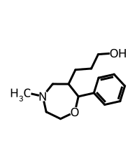 CN1CCOC(c2ccccc2)C(CCCO)C1